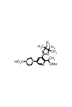 COC(C)c1ncc(N2CCN(C(=O)O)CC2)cc1B1OC(C)(C)C(C)(C)O1